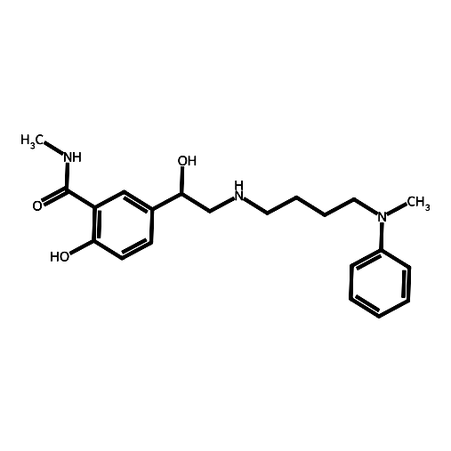 CNC(=O)c1cc(C(O)CNCCCCN(C)c2ccccc2)ccc1O